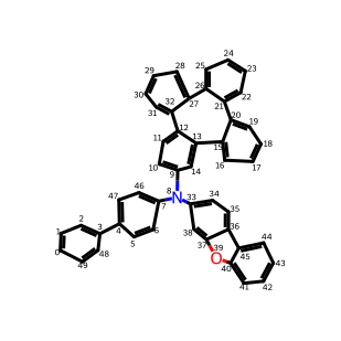 c1ccc(-c2ccc(N(c3ccc4c(c3)-c3ccccc3-c3ccccc3-c3ccccc3-4)c3ccc4c(c3)oc3ccccc34)cc2)cc1